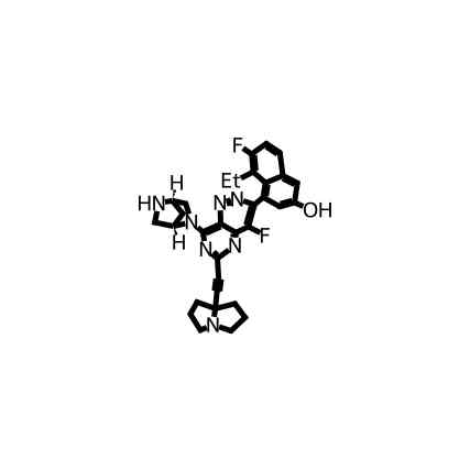 CCc1c(F)ccc2cc(O)cc(-c3nnc4c(N5C[C@H]6C[C@@H]5CN6)nc(C#CC56CCCN5CCC6)nc4c3F)c12